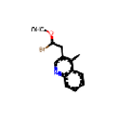 Cc1c(CC(Br)OC=O)cnc2ccccc12